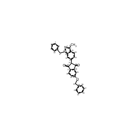 Cc1nn(Cc2ccccc2)c2cc(C3C(=O)c4ccc(OCc5ccccc5)cc4C3=O)ccc12